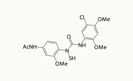 COc1cc(OC)c(NC(=O)N(S)c2ccc(NC(C)=O)cc2OC)cc1Cl